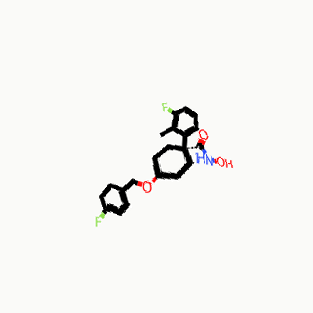 Cc1c(F)cccc1[C@]1(C(=O)NO)CC[C@H](OCc2ccc(F)cc2)CC1